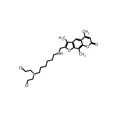 Cc1cc(=O)oc2c(C)c3oc(CNCCCCCCN(CCCl)CCCl)c(C)c3cc12